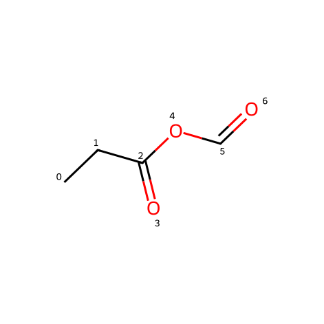 CCC(=O)OC=O